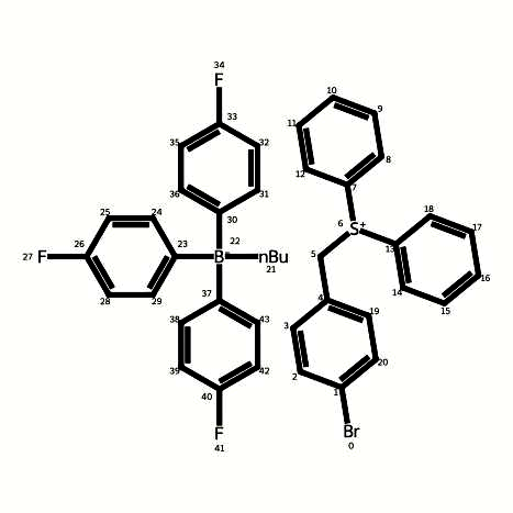 Brc1ccc(C[S+](c2ccccc2)c2ccccc2)cc1.CCCC[B-](c1ccc(F)cc1)(c1ccc(F)cc1)c1ccc(F)cc1